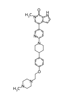 CN1CCN(CCOc2ccc(C3CCN(c4ccc(-c5cn(C)c(=O)c6[nH]ccc56)cn4)CC3)cc2)CC1